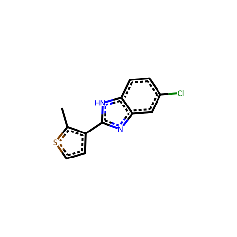 Cc1sccc1-c1nc2cc(Cl)ccc2[nH]1